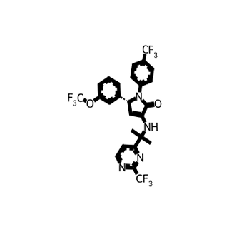 CC(C)(NC1=C[C@H](c2cccc(OC(F)(F)F)c2)N(c2ccc(C(F)(F)F)cc2)C1=O)c1ccnc(C(F)(F)F)n1